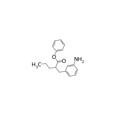 CCCC(Cc1cccc(N)c1)C(=O)Oc1ccccc1